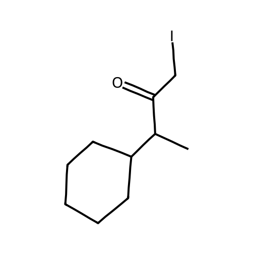 CC(C(=O)CI)C1CCCCC1